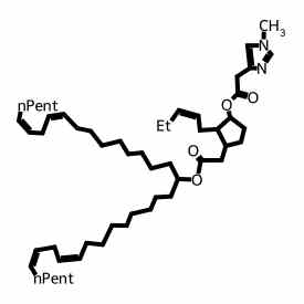 CC/C=C\CC1C(CC(=O)OC(CCCCCCCC/C=C\C/C=C\CCCCC)CCCCCCCC/C=C\C/C=C\CCCCC)CCC1OC(=O)Cc1cn(C)cn1